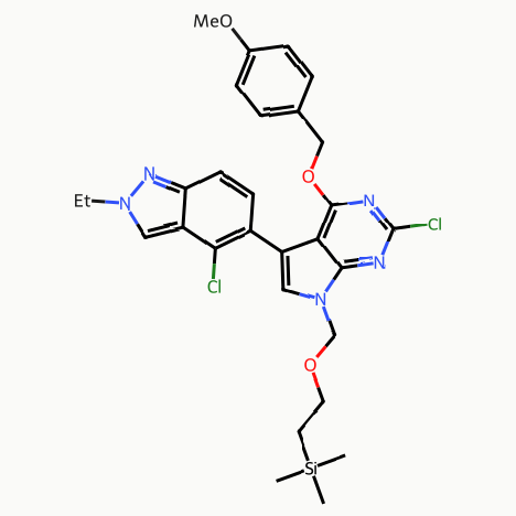 CCn1cc2c(Cl)c(-c3cn(COCC[Si](C)(C)C)c4nc(Cl)nc(OCc5ccc(OC)cc5)c34)ccc2n1